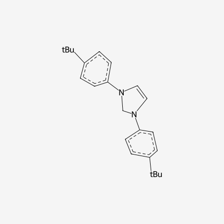 CC(C)(C)c1ccc(N2C=CN(c3ccc(C(C)(C)C)cc3)C2)cc1